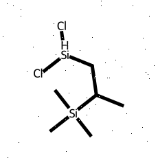 CC(C[SiH](Cl)Cl)[Si](C)(C)C